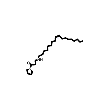 CCCCCCCC/C=C\CCCCCCCCNCCC(=O)N1CCCC1